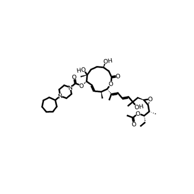 CC[C@H](OC(C)=O)[C@@H](C)[C@H]1O[C@@H]1CC(C)(O)/C=C/C=C(\C)[C@H]1OC(=O)C[C@H](O)CC[C@@](C)(O)[C@@H](OC(=O)N2CCN(C3CCCCCC3)CC2)/C=C/[C@@H]1C